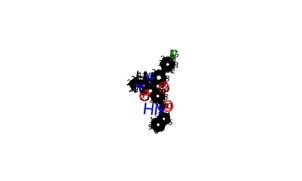 O=C(N[C@@H]1CCc2ccccc21)c1ccc(-c2c3c(nc4c2C(=O)N2CCC[C@@H]42)CC(c2ccc(F)cc2)CC3=O)cc1